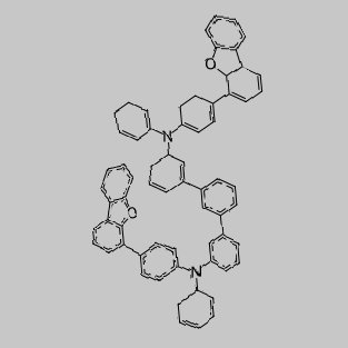 C1=CCC(N(c2ccc(-c3cccc4c3oc3ccccc34)cc2)c2cccc(-c3cccc(C4=CC(N(C5=CCCC=C5)C5=CC=C(C6=CC=CC7c8ccccc8OC67)CC5)CC=C4)c3)c2)C=C1